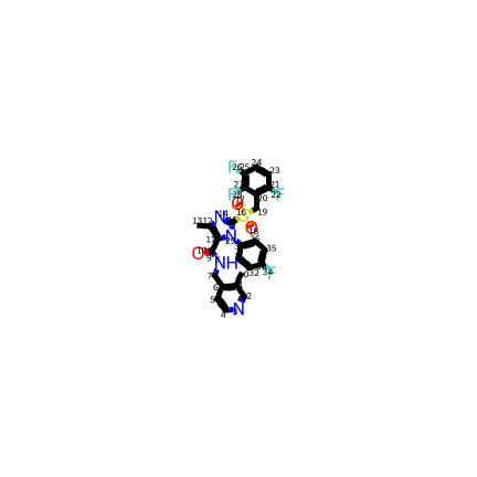 Cc1cnccc1CNC(=O)c1c(C)nc(S(=O)(=O)Cc2c(F)ccc(F)c2F)n1-c1ccc(F)cc1